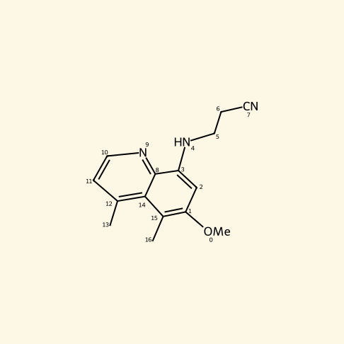 COc1cc(NCCC#N)c2nccc(C)c2c1C